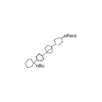 CCCCC[C@H]1CC[C@H](C23CCC(c4ccc(C5(CCCC)CCCCC5)cc4)(CC2)CC3)CC1